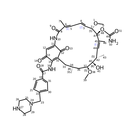 CO[C@H]1/C=C\C=C(/C)C(=O)NC2=CC(=O)C(NC(=O)c3ccc(CN4CCNCC4)cc3)=C(C[C@@H](C)C[C@H](OC)[C@H](O)[C@@H](C)/C=C(\C)[C@@H]1OC(N)=O)C2=O